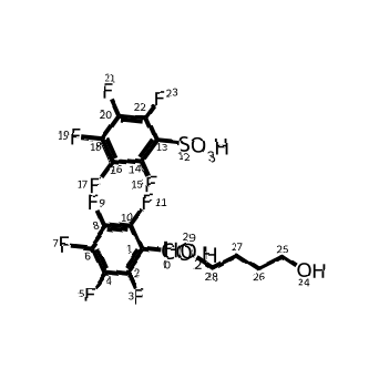 O=C(O)c1c(F)c(F)c(F)c(F)c1F.O=S(=O)(O)c1c(F)c(F)c(F)c(F)c1F.OCCCCO